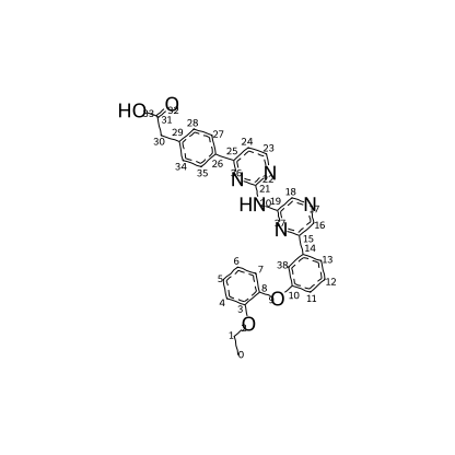 CCOc1ccccc1Oc1cccc(-c2cncc(Nc3nccc(-c4ccc(CC(=O)O)cc4)n3)n2)c1